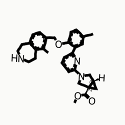 COC(=O)[C@]12C[C@H]1CN(c1cccc(-c3cc(C)ccc3OCc3ccc4c(c3C)CCNCC4)n1)C2